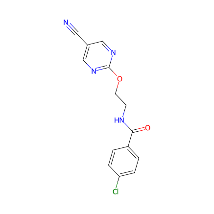 N#Cc1cnc(OCCNC(=O)c2ccc(Cl)cc2)nc1